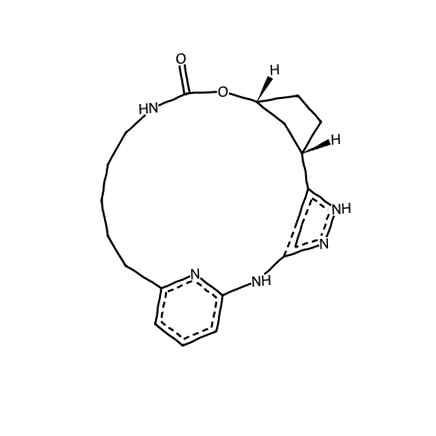 O=C1NCCCCCc2cccc(n2)Nc2cc([nH]n2)[C@H]2CC[C@H](C2)O1